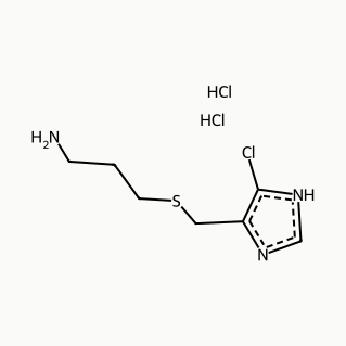 Cl.Cl.NCCCSCc1nc[nH]c1Cl